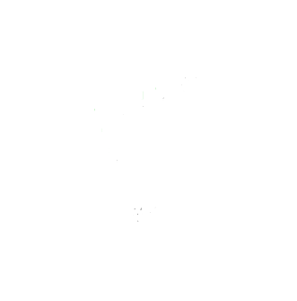 [Cl-].[Cl-].[Cl-].[Cl-].[Cl-].[Cl-].[Cl-].[Cl-].[Mo+4].[Zr+4]